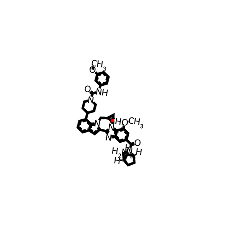 COc1cccc(NC(=O)N2CCC(c3cccc4cc(-c5nc6cc(C(=O)N7C[C@H]8CC[C@@H]7[C@@H]8N)cc(OC)c6n5C)n(CC5CC5)c34)CC2)c1